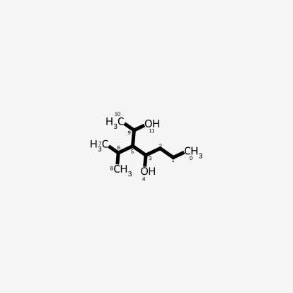 CCCC(O)C(C(C)C)C(C)O